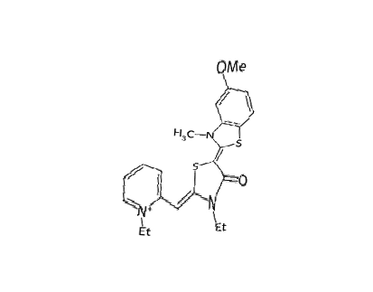 CCn1c(=O)/c(=C2\Sc3ccc(OC)cc3N2C)s/c1=C\c1cccc[n+]1CC